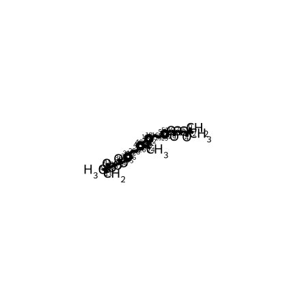 C=C(C)C(=O)OCOC(=O)Oc1ccc(CCc2ccc3c(c2)C(C)c2cc(CCc4ccc(OC(=O)OCOC(=O)C(=C)C)cc4)ccc2-3)cc1